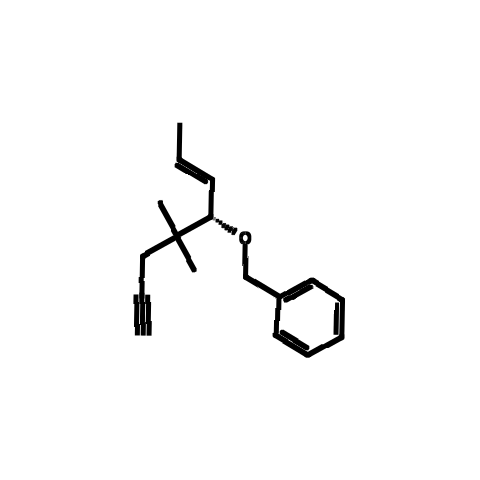 C#CCC(C)(C)[C@H](/C=C/C)OCc1ccccc1